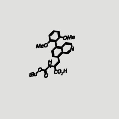 COc1cccc(OC)c1-c1ccc(/C=C(\NC(=O)OC(C)(C)C)C(=O)O)c2cnccc12